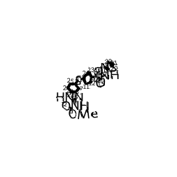 COC(=O)Nc1nc2cc(Sc3ccc(S(=O)(=O)Nc4nccs4)cc3)ccc2[nH]1